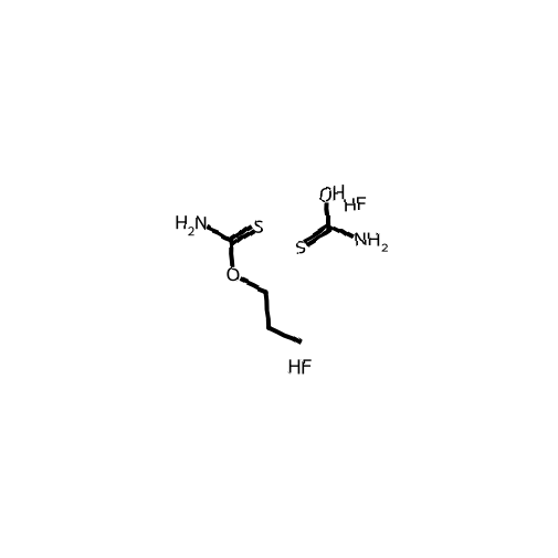 CCCOC(N)=S.F.F.NC(O)=S